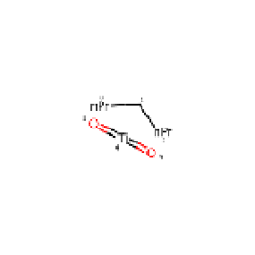 CCCCCCC.[O]=[Ti]=[O]